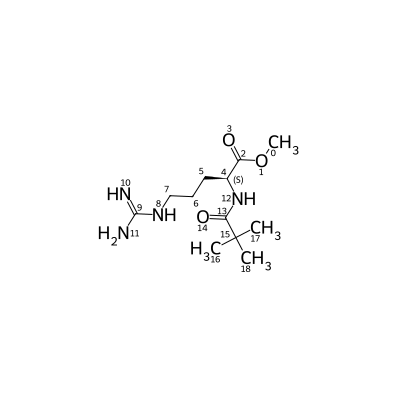 COC(=O)[C@H](CCCNC(=N)N)NC(=O)C(C)(C)C